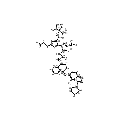 CC(C)CCn1cc(-n2nc(C(C)(C)C)cc2NC(=O)N[C@H]2CC[C@@H](Oc3ccc4nnc(N5CCCC[C@@H]5C)n4c3)c3ccccc32)c(CO[Si](C(C)C)(C(C)C)C(C)C)n1